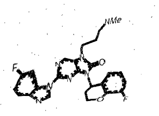 CNCCCn1c(=O)n(C2CCOc3c(F)cccc32)c2nc(-n3cnc4ccc(F)cc43)ncc21